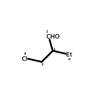 CCC(C=O)CCl